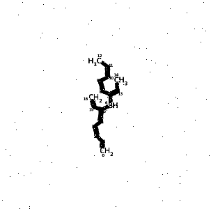 C=C/C=C\C=C(\BC(/C=C\C=C/C)=C/C)C=C